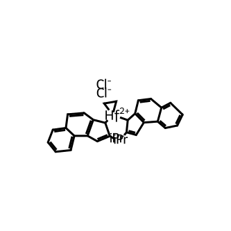 CC(C)C1=Cc2c(ccc3ccccc23)[CH]1[Hf+2]1([CH]2C(C(C)C)=Cc3c2ccc2ccccc32)[CH2][CH2]1.[Cl-].[Cl-]